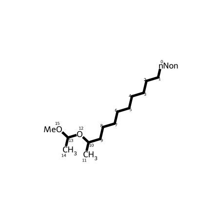 CCCCCCCCCCCCCCCCCCC(C)OC(C)OC